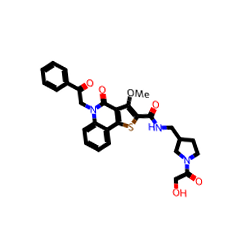 COc1c(C(=O)NCC2CCN(C(=O)CO)C2)sc2c1c(=O)n(CC(=O)c1ccccc1)c1ccccc21